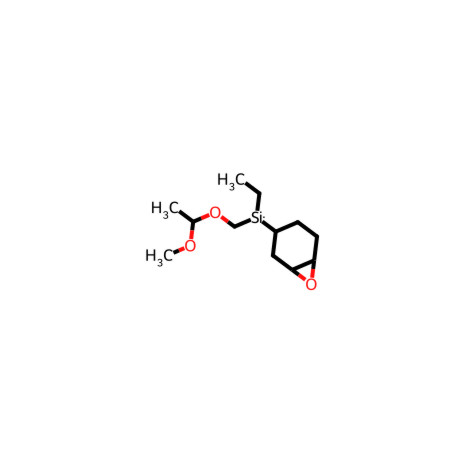 CC[Si](COC(C)OC)C1CCC2OC2C1